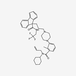 C=CCN(C(=O)c1cccc(N2CCN(CCCC3(C(=O)NCC(F)(F)F)c4ccccc4-c4ccccc43)CC2)c1C)C1CCCCC1